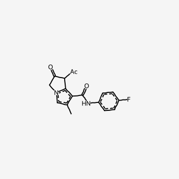 CC(=O)C1C(=O)Cn2cc(C)c(C(=O)Nc3ccc(F)cc3)c21